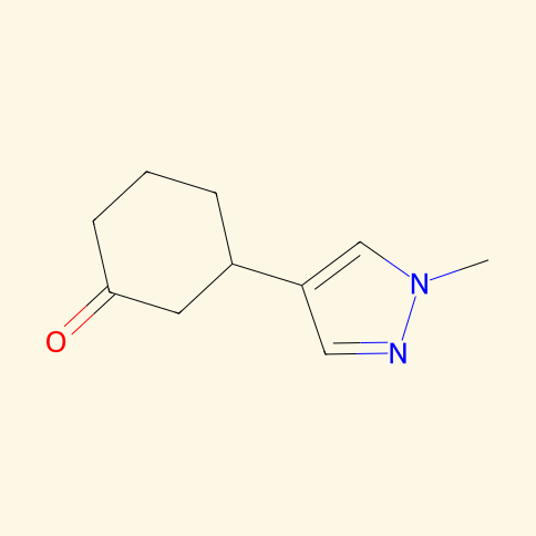 Cn1cc(C2CCCC(=O)C2)cn1